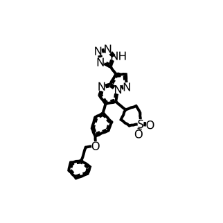 O=S1(=O)CCC(c2c(-c3ccc(OCc4ccccc4)cc3)cnc3c(-c4nnn[nH]4)cnn23)CC1